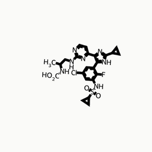 CC(CNc1nccc(-c2nc(C3CC3)[nH]c2-c2cc(Cl)cc(NS(=O)(=O)C3CC3)c2F)n1)NC(=O)O